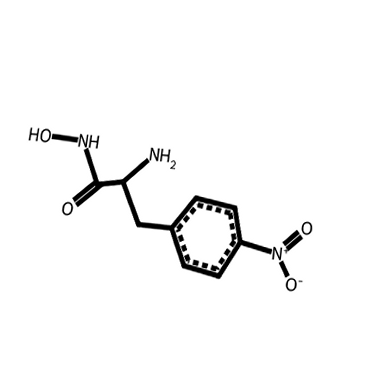 NC(Cc1ccc([N+](=O)[O-])cc1)C(=O)NO